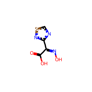 O=C(O)C(=NO)c1ncsn1